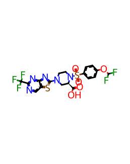 O=C(O)[C@H]1CN(c2nc3nc(C(F)(F)F)ncc3s2)CCN1S(=O)(=O)c1ccc(OC(F)F)cc1